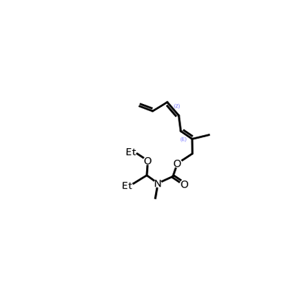 C=C/C=C\C=C(/C)COC(=O)N(C)C(CC)OCC